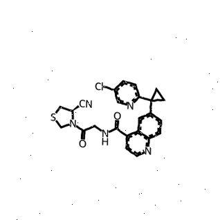 N#C[C@@H]1CSCN1C(=O)CNC(=O)c1ccnc2ccc(C3(c4ccc(Cl)cn4)CC3)cc12